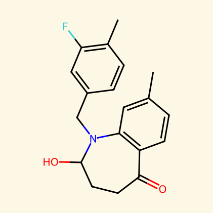 Cc1ccc2c(c1)N(Cc1ccc(C)c(F)c1)C(O)CCC2=O